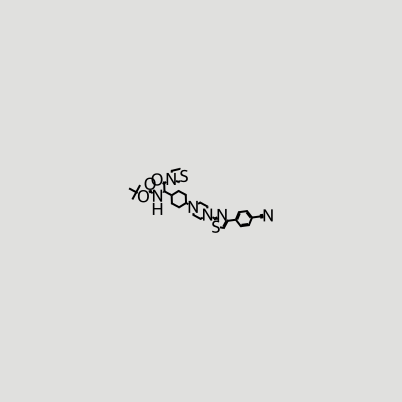 CC(C)(C)OC(=O)N[C@H](C(=O)N1CCSC1)C1CCC(N2CCN(c3nc(-c4ccc(C#N)cc4)cs3)CC2)CC1